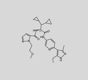 CCc1[nH]nc(C)c1-c1ccc(NC(=O)[C@@H](NC(=O)c2ccnn2CCOC)C(C2CC2)C2CC2)cn1